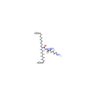 CCCCCCCCCCCCCCCCCCN(CCCCCCCCCCCCCCCCCC)C(=O)CNC(=O)[C@@H](N)CCCCN